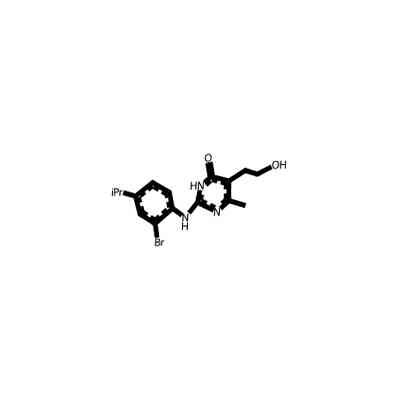 Cc1nc(Nc2ccc(C(C)C)cc2Br)[nH]c(=O)c1CCO